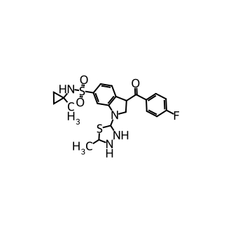 CC1NNC(N2CC(C(=O)c3ccc(F)cc3)c3ccc(S(=O)(=O)NC4(C)CC4)cc32)S1